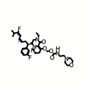 CCN1C[C@H](C(C/C=C\C=C(\F)C(C)C)c2cccc(F)c2)N2N=CCC(OCOC(=O)NCCN3CCOCC3)=C2C1=O